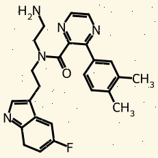 Cc1ccc(-c2nccnc2C(=O)N(CCN)CCC2=CN=C3CC=C(F)C=C23)cc1C